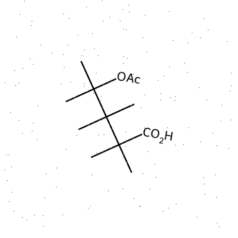 CC(=O)OC(C)(C)C(C)(C)C(C)(C)C(=O)O